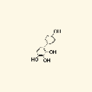 Oc1ccc(-c2[c]cc(O)c(O)c2O)cc1